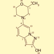 CC1CN(c2ccc3cc(O)nn3c2)CCO1